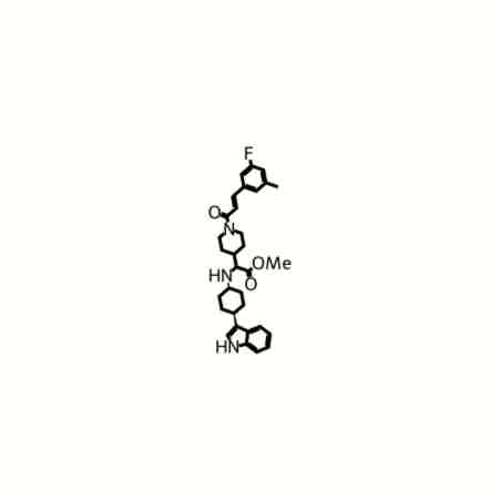 COC(=O)C(N[C@H]1CC[C@H](c2c[nH]c3ccccc32)CC1)C1CCN(C(=O)/C=C/c2cc(C)cc(F)c2)CC1